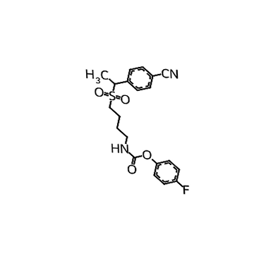 CC(c1ccc(C#N)cc1)S(=O)(=O)CCCCNC(=O)Oc1ccc(F)cc1